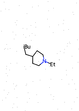 CCC(C)CC1CCN(CC)CC1